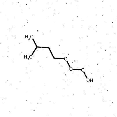 CC(C)CCOOOO